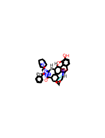 CC(C)c1nnc(BC2CC[C@@]3(O)[C@H]4Cc5ccc(O)c6c5[C@@]3(CCN4CC3CC3)[C@H]2O6)n1C1CC2CCC(C1)N2CC[C@H](NC(=O)C1CCC(F)(F)CC1)c1ccccc1